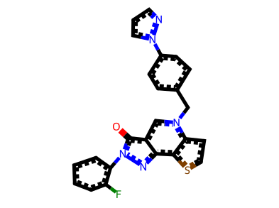 O=c1c2cn(Cc3ccc(-n4cccn4)cc3)c3ccsc3c-2nn1-c1ccccc1F